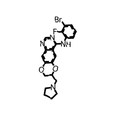 Fc1c(Br)cccc1Nc1ncnc2cc3c(cc12)OC(CN1CCCC1)CO3